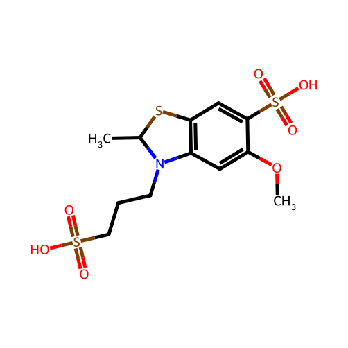 COc1cc2c(cc1S(=O)(=O)O)SC(C)N2CCCS(=O)(=O)O